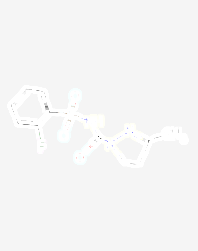 CC1=NN(C(=O)NS(=O)(=O)c2ccccc2F)CC1